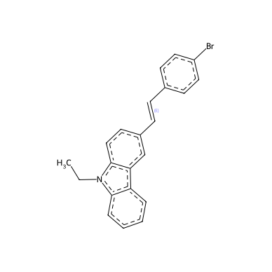 CCn1c2ccccc2c2cc(/C=C/c3ccc(Br)cc3)ccc21